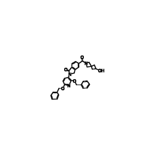 O=C(c1ccc2c(c1)CN(c1ccc(OCc3ccccc3)nc1OCc1ccccc1)C2=O)N1CC2(CC(O)C2)C1